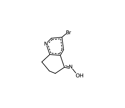 ON=C1CCCc2ncc(Br)cc21